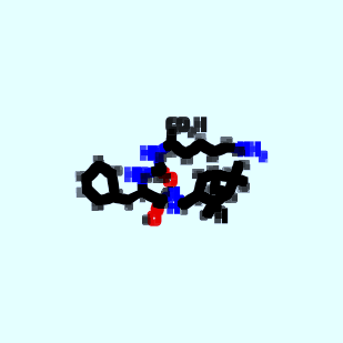 C[C@@H]1C(CNC(=O)[C@@H](CC2CCCCC2)NC(=O)NC(CCCCN)C(=O)O)CC2CC1C2(C)C